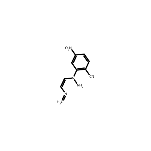 C=N/C=C\N(N)c1cc([N+](=O)[O-])ccc1C#N